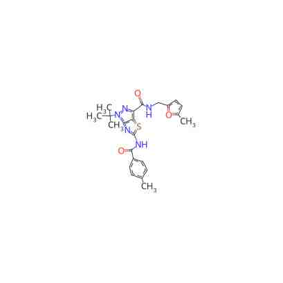 Cc1ccc(C(=O)Nc2nc3c(s2)c(C(=O)NCc2ccc(C)o2)nn3C(C)(C)C)cc1